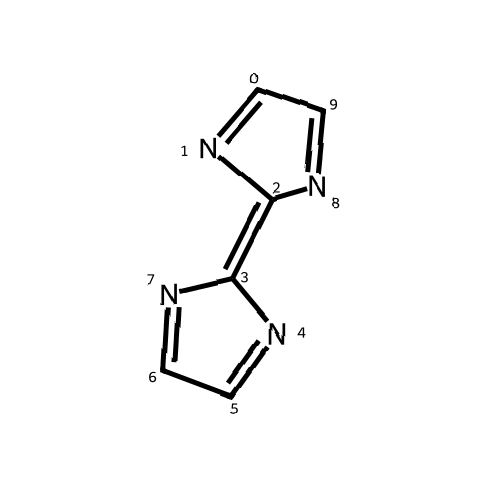 C1=NC(=C2N=CC=N2)N=C1